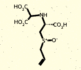 C=CC[S+]([O-])C[C@H](NC(C(=O)O)C(=O)O)C(=O)O